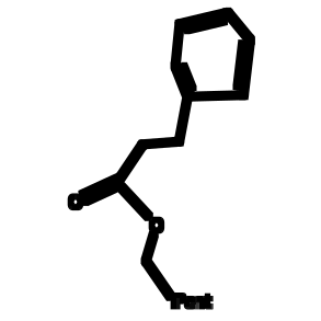 CCCC(C)COC(=O)CCc1ccccc1